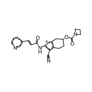 N#Cc1c(NC(=O)C=Cc2cccnc2)sc2c1CCC(OC(=O)N1CCC1)C2